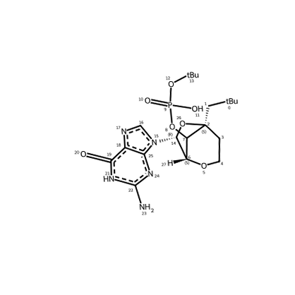 CC(C)(C)C[C@]12CCO[C@@H](C1OP(=O)(O)OC(C)(C)C)[C@H](n1cnc3c(=O)[nH]c(N)nc31)O2